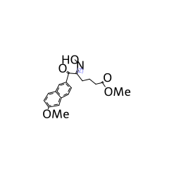 COC(=O)CCC/C(=N/O)C(=O)c1ccc2cc(OC)ccc2c1